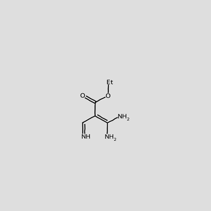 CCOC(=O)C(C=N)=C(N)N